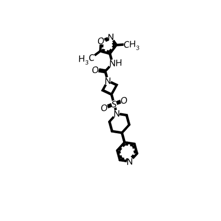 Cc1noc(C)c1NC(=O)N1CC(S(=O)(=O)N2CCC(c3ccncc3)CC2)C1